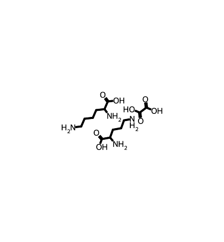 NCCCC(N)C(=O)O.NCCCCC(N)C(=O)O.O=C(O)C(=O)O